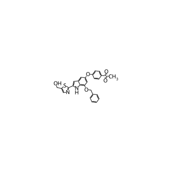 CS(=O)(=O)c1ccc(Oc2cc(OCc3ccccc3)c3[nH]c(-c4ncc(CO)s4)cc3c2)cc1